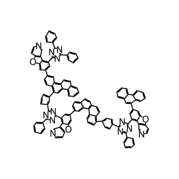 c1ccc(-c2nc(-c3ccccc3)nc(-c3cc(-c4ccc5c(-c6cccc(-c7nc(-c8ccccc8)nc(-c8cc(-c9ccc%10ccc%11ccc%12c(-c%13ccc(-c%14nc(-c%15ccccc%15)nc(-c%15cc(-c%16cc%17ccccc%17c%17ccccc%16%17)cc%16oc%17ccncc%17c%15%16)n%14)cc%13)cccc%12c%11c%10c9)cc9oc%10ccncc%10c89)n7)c6)cc6c7ccccc7ccc6c5c4)cc4oc5ccncc5c34)n2)cc1